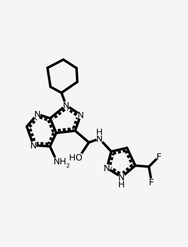 Nc1ncnc2c1c(C(O)Nc1cc(C(F)F)[nH]n1)nn2C1CCCCC1